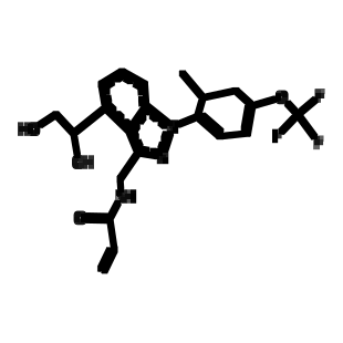 C=CC(=O)NCc1nn(C2=CC=C(OC(F)(F)F)CC2C)c2cccc(C(O)CO)c12